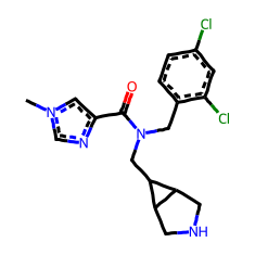 Cn1cnc(C(=O)N(Cc2ccc(Cl)cc2Cl)CC2C3CNCC32)c1